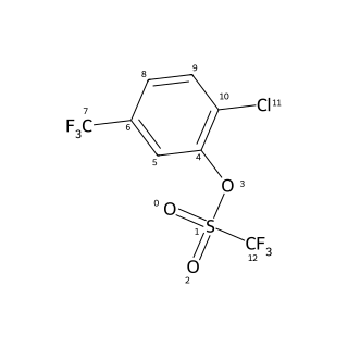 O=S(=O)(Oc1cc(C(F)(F)F)ccc1Cl)C(F)(F)F